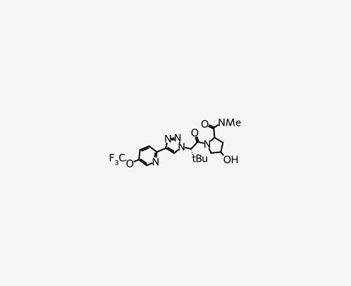 CNC(=O)C1CC(O)CN1C(=O)[C@@H](n1cc(-c2ccc(OC(F)(F)F)cn2)nn1)C(C)(C)C